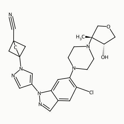 C[C@@]1(N2CCN(c3cc4c(cnn4-c4cnn(C56CC(C#N)(C5)C6)c4)cc3Cl)CC2)COC[C@@H]1O